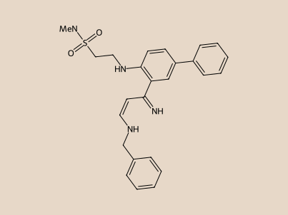 CNS(=O)(=O)CCNc1ccc(-c2ccccc2)cc1C(=N)/C=C\NCc1ccccc1